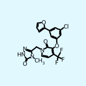 Cn1c(Cn2ccc(C(F)(F)F)c(Oc3cc(Cl)cc(-c4ccco4)c3)c2=O)n[nH]c1=O